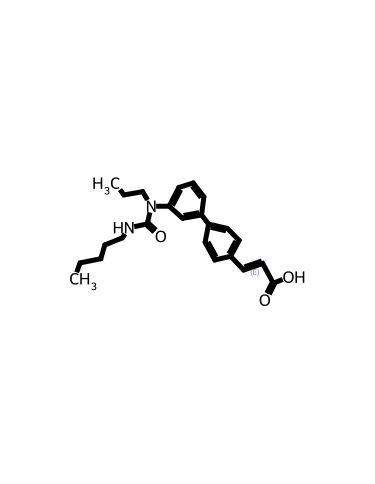 CCCCCNC(=O)N(CCC)c1cccc(-c2ccc(/C=C/C(=O)O)cc2)c1